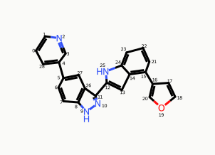 c1cncc(-c2ccc3[nH]nc(-c4cc5c(-c6ccoc6)cccc5[nH]4)c3c2)c1